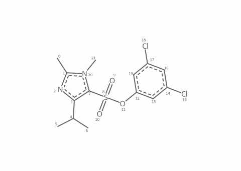 Cc1nc(C(C)C)c(S(=O)(=O)Oc2cc(Cl)cc(Cl)c2)n1C